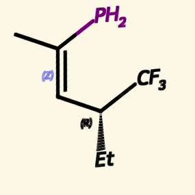 CC[C@H](/C=C(/C)P)C(F)(F)F